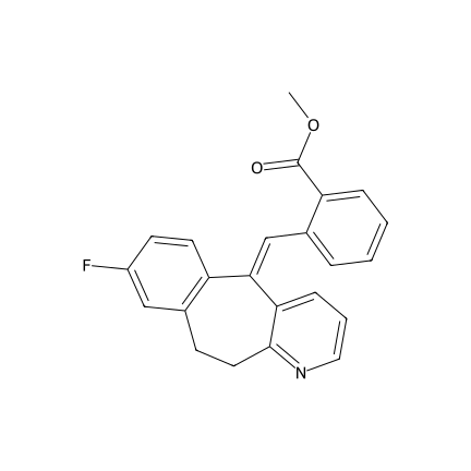 COC(=O)c1ccccc1/C=C1/c2ccc(F)cc2CCc2ncccc21